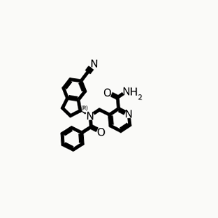 N#Cc1ccc2c(c1)[C@H](N(Cc1cccnc1C(N)=O)C(=O)c1ccccc1)CC2